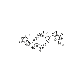 Nc1nc2c(ncn2[C@@H]2O[C@@H]3OP(=O)(O)OC4[C@@H](COP(=O)(O)O[C@@H]3C2O)O[C@@H](n2cnc3c(=O)[nH]c(N)nc32)[C@H]4O)c(=O)[nH]1